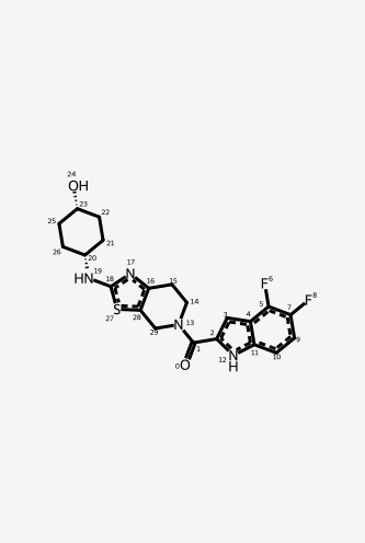 O=C(c1cc2c(F)c(F)ccc2[nH]1)N1CCc2nc(N[C@H]3CC[C@@H](O)CC3)sc2C1